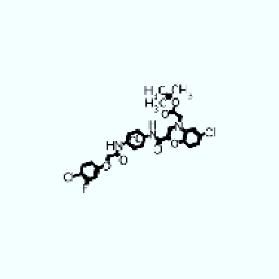 CC(C)(C)OC(=O)CN1CC(C(=O)NC23CCC(NC(=O)COc4ccc(Cl)c(F)c4)(CC2)CC3)Oc2ccc(Cl)cc21